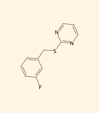 Fc1cccc(CSc2ncccn2)c1